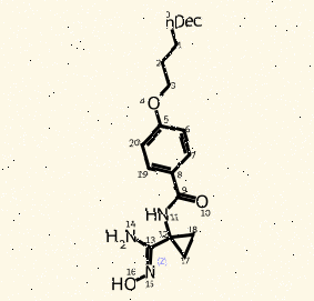 CCCCCCCCCCCCCOc1ccc(C(=O)NC2(/C(N)=N/O)CC2)cc1